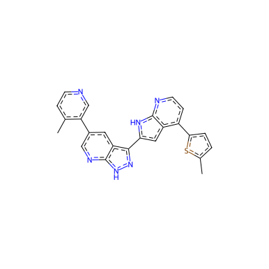 Cc1ccc(-c2ccnc3[nH]c(-c4n[nH]c5ncc(-c6cnccc6C)cc45)cc23)s1